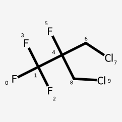 FC(F)(F)C(F)(CCl)CCl